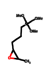 CO[Si](CCCC1OC1C)(OC)OC